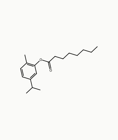 CCCCCCCC(=O)Oc1cc(C(C)C)ccc1C